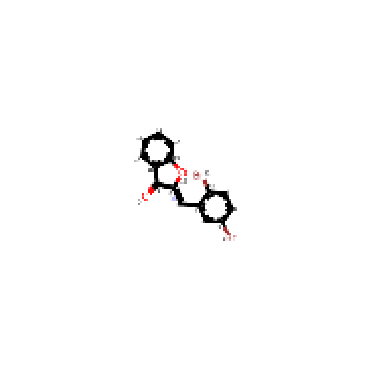 O=C1/C(=C/c2cc(Br)ccc2Br)Oc2ccccc21